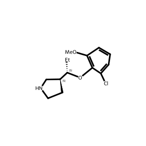 CC[C@H](Oc1c(Cl)cccc1OC)[C@H]1CCNC1